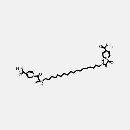 CC(NCCCCCCCCCCCCCCCCCCNC(C)C(=O)N1C=CC(C(N)=O)=CC1)C(=O)N1C=CC(C(N)=O)=CC1